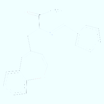 COC(=O)C(CC1=Cc2ccccc2OC=C1)N=Cc1ccccc1